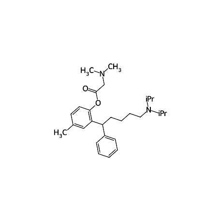 Cc1ccc(OC(=O)CN(C)C)c(C(CCCCN(C(C)C)C(C)C)c2ccccc2)c1